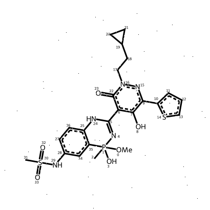 COP1(C)(O)N=C(c2c(O)c(-c3cccs3)nn(CCC3CC3)c2=O)Nc2ccc(NS(C)(=O)=O)cc21